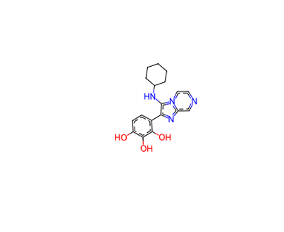 Oc1ccc(-c2nc3cnccn3c2NC2CCCCC2)c(O)c1O